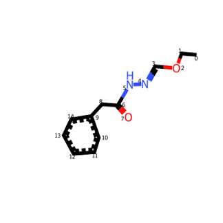 CCOC=NNC(=O)Cc1ccccc1